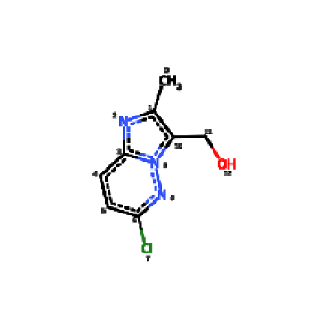 Cc1nc2ccc(Cl)nn2c1CO